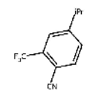 CC(C)c1ccc(C#N)c(C(F)(F)F)c1